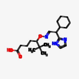 CC(C)(C)C(CCCC(=O)O)ON=CC(c1ncc[nH]1)C1CCCCC1